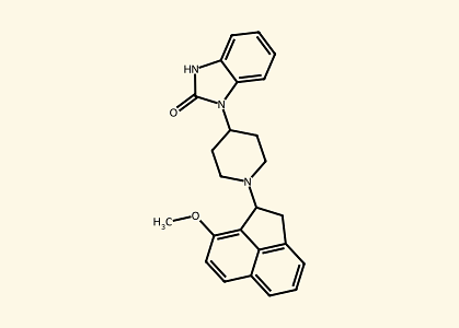 COc1ccc2cccc3c2c1C(N1CCC(n2c(=O)[nH]c4ccccc42)CC1)C3